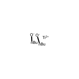 CCCC[O-].CCCC[O-].[Ti+2]